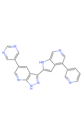 c1cncc(-c2cncc3[nH]c(-c4n[nH]c5ncc(-c6cncnc6)cc45)cc23)c1